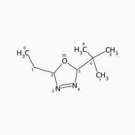 CCC1N=NC(C(C)(C)C)O1